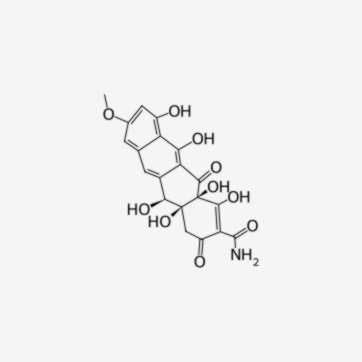 COc1cc(O)c2c(O)c3c(cc2c1)[C@H](O)[C@@]1(O)CC(=O)C(C(N)=O)=C(O)[C@@]1(O)C3=O